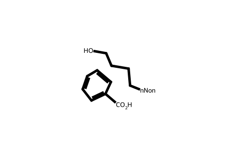 CCCCCCCCCCCCCO.O=C(O)c1ccccc1